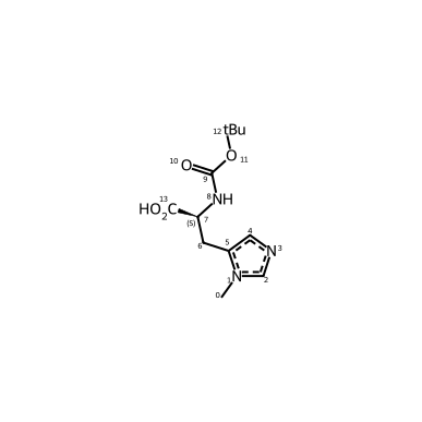 Cn1cncc1C[C@H](NC(=O)OC(C)(C)C)C(=O)O